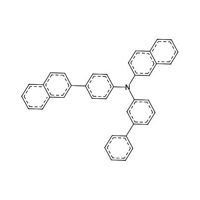 c1ccc(-c2cccc(N(c3ccc(-c4ccc5ccccc5c4)cc3)c3ccc4ccccc4c3)c2)cc1